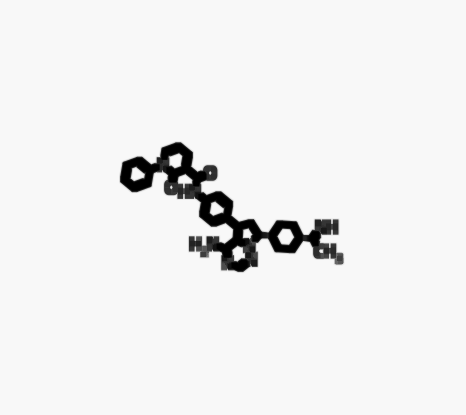 CC(=N)[C@H]1CC[C@@H](C2CC(c3ccc(NC(=O)c4cccn(-c5ccccc5)c4=O)cc3)=C3C(N)=NC=NN32)CC1